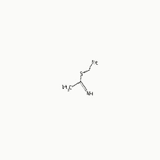 CCCSC(C)=N